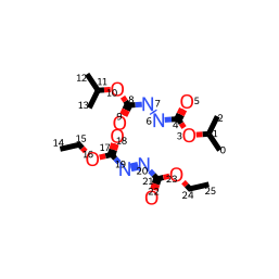 CC(C)OC(=O)N=NC(=O)OC(C)C.CCOC(=O)N=NC(=O)OCC